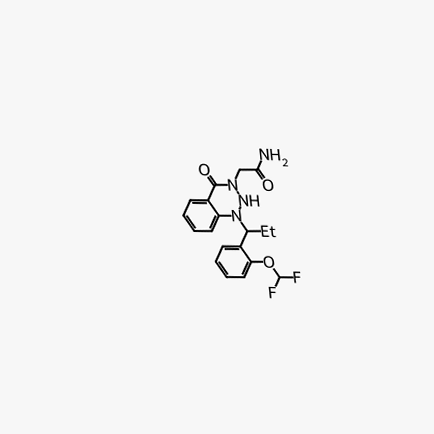 CCC(c1ccccc1OC(F)F)N1NN(CC(N)=O)C(=O)c2ccccc21